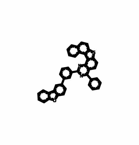 c1ccc(-c2nc(-c3cccc(-c4ccc5oc6ccccc6c5c4)c3)nc3c2ccc2sc4ccc5ccccc5c4c23)cc1